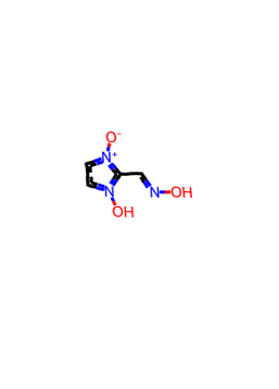 [O-][n+]1ccn(O)c1C=NO